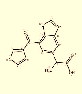 CC(C(=O)O)c1cc(C(=O)c2ccsc2)c2occc2c1